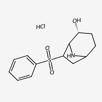 Cl.O=S(=O)(c1ccccc1)C1CC2CC[C@@H](O)C1N2